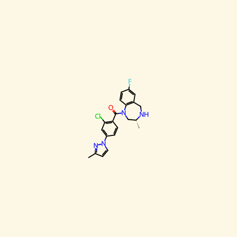 Cc1ccn(-c2ccc(C(=O)N3C[C@@H](C)NCc4cc(F)ccc43)c(Cl)c2)n1